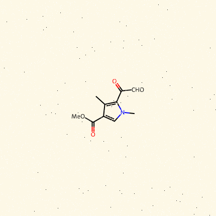 COC(=O)c1cn(C)c(C(=O)C=O)c1C